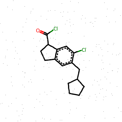 O=C(Cl)C1CCc2cc(CC3CCCC3)c(Cl)cc21